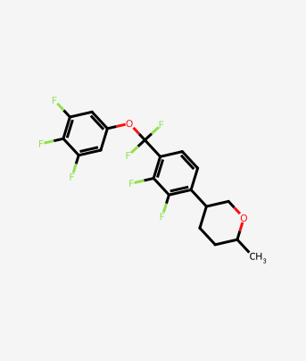 CC1CCC(c2ccc(C(F)(F)Oc3cc(F)c(F)c(F)c3)c(F)c2F)CO1